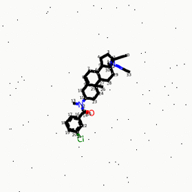 CC1C2CCC3C4CC=C5CC(N(C)C(=O)c6cccc(Cl)c6)CCC5(C)C4CCC32CN1C